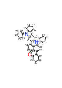 c1ccc(N(c2ccc3c(c2)c2ccccc2n3-c2ccccc2)c2ccc3c4c(cccc24)Oc2ccccc2-3)cc1